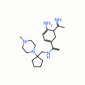 C=C(NCC1(N2CCN(C)CC2)CCCC1)C1=CC=C(N)C(C(C)=N)C1